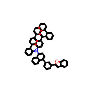 c1ccc(-c2ccc(-c3ccccc3N(c3ccc(-c4cc5ccccc5c5ccccc45)cc3)c3ccc(-c4cccc(-c5cc6ccccc6o5)c4)c4ccccc34)cc2)cc1